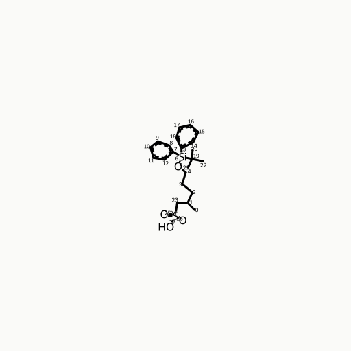 CC(CCCO[Si](c1ccccc1)(c1ccccc1)C(C)(C)C)CS(=O)(=O)O